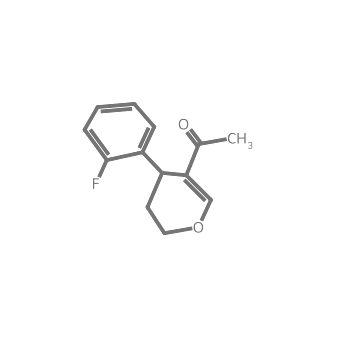 CC(=O)C1=COCCC1c1ccccc1F